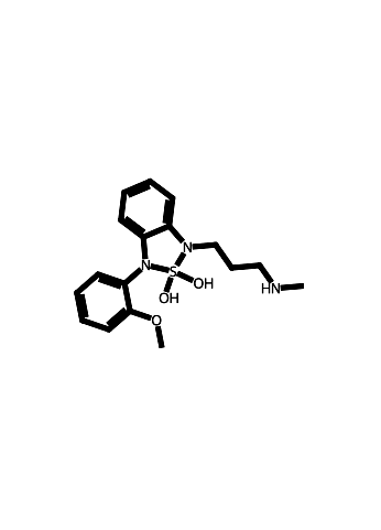 CNCCCN1c2ccccc2N(c2ccccc2OC)S1(O)O